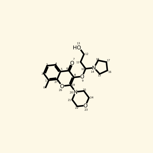 Cc1cccc2c(=O)c(OC(CCO)N3CCCC3)c(N3CCOCC3)oc12